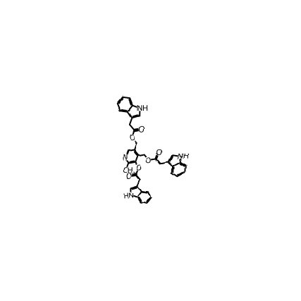 Cc1ncc(COC(=O)Cc2c[nH]c3ccccc23)c(COC(=O)Cc2c[nH]c3ccccc23)c1OC(=O)Cc1c[nH]c2ccccc12